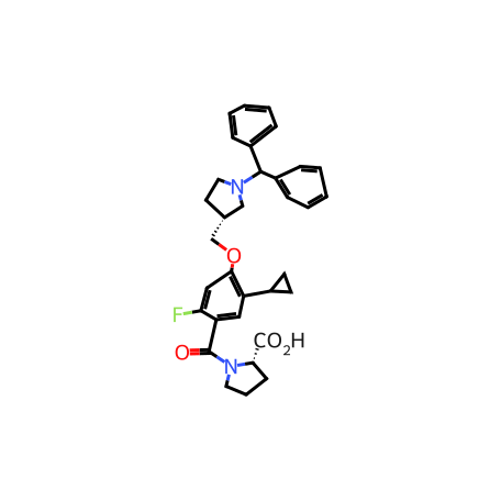 O=C(O)[C@@H]1CCCN1C(=O)c1cc(C2CC2)c(OC[C@@H]2CCN(C(c3ccccc3)c3ccccc3)C2)cc1F